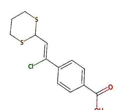 O=C(O)c1ccc(C(Cl)=CC2SCCCS2)cc1